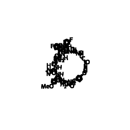 COc1ccc(C[C@@H]2NC(=O)[C@H](Cc3cnc[nH]3)NC(=O)[C@H](CC(=O)O)NC(=O)C(Cc3c[nH]c4ccc(F)cc34)NC(=O)[C@H](Cc3c[nH]c4ccc(F)cc34)NC(=O)[C@@H](C)NC(=O)CCCC(=O)NCCOc3ccc(cc3)C[C@@H](C(N)=O)NC(=O)[C@]3(C)CCCN3C2=O)cc1